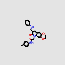 Cc1ccc(NC(=O)Cn2c(=O)c(CNc3ccccc3)cc3cc4c(cc32)OCCO4)cc1